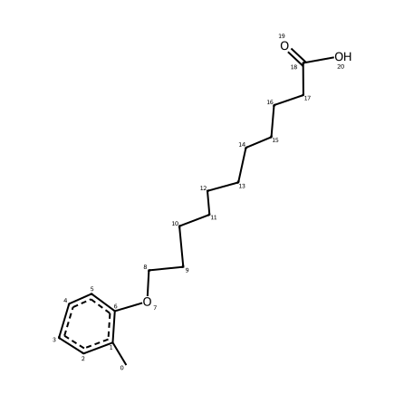 Cc1ccccc1OCCCCCCCCCCC(=O)O